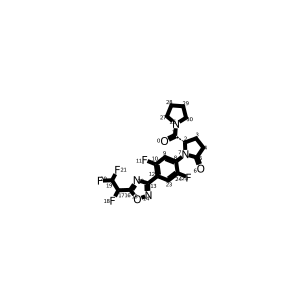 O=C([C@@H]1CCC(=O)N1c1cc(F)c(-c2noc(C(F)C(F)F)n2)cc1F)N1CCCC1